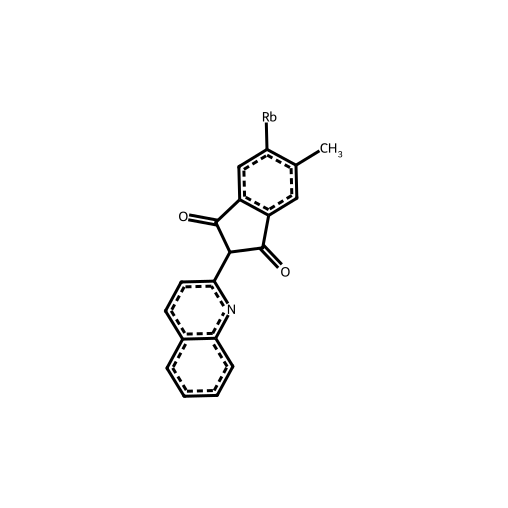 Cc1cc2c(c[c]1[Rb])C(=O)C(c1ccc3ccccc3n1)C2=O